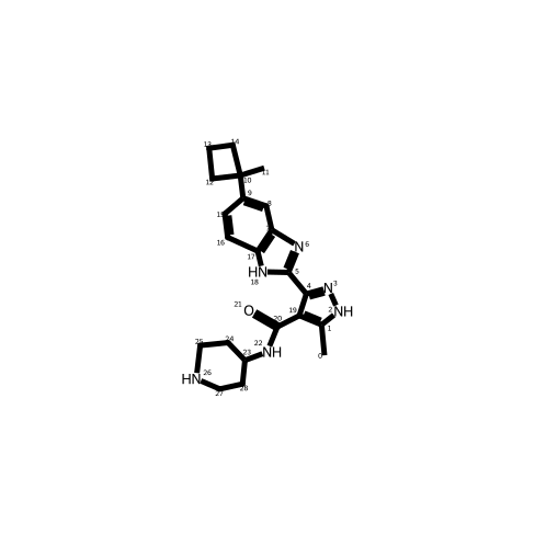 Cc1[nH]nc(-c2nc3cc(C4(C)CCC4)ccc3[nH]2)c1C(=O)NC1CCNCC1